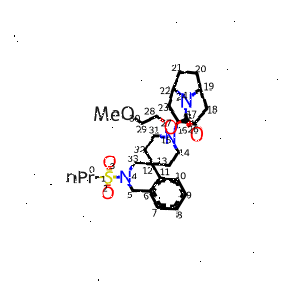 CCCS(=O)(=O)N1Cc2ccccc2C2(CCN(C3CCC4CCC(C3)N4C(=O)OCCOC)CC2)C1